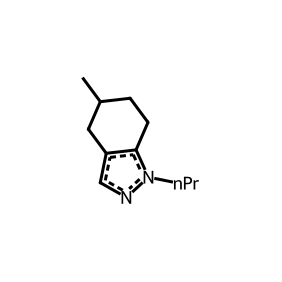 CCCn1ncc2c1CCC(C)C2